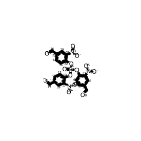 O=Cc1ccc(OP(=O)(Oc2ccc(C=O)cc2[N+](=O)[O-])Oc2ccc(C=O)cc2[N+](=O)[O-])c([N+](=O)[O-])c1